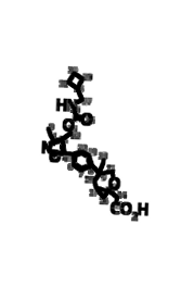 Cc1noc(-c2ccc(C3(C)COC4(CC(=O)O)CC4C3)cc2)c1COC(=O)NCC1CCC1